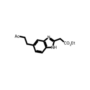 CCOC(=O)Cc1nc2cc(CCC(C)=O)ccc2[nH]1